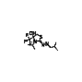 CC(C)/C=N/N=C1\SCC(O)(C(F)(F)F)N1C(C)C